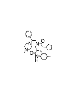 Cc1ccc2[nH]c(=O)c(CN(CC(c3ccccc3)N3CCN(C)CC3)C(=O)CC3CCCC3)cc2c1